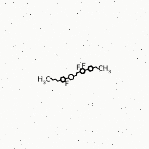 CCCCCc1ccc(C2CCC(/C=C/c3ccc(-c4ccc(CCC)cc4)c(F)c3F)CC2)c(F)c1